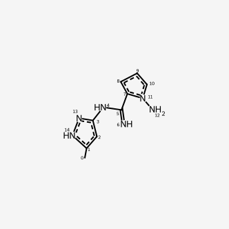 Cc1cc(NC(=N)c2cccn2N)n[nH]1